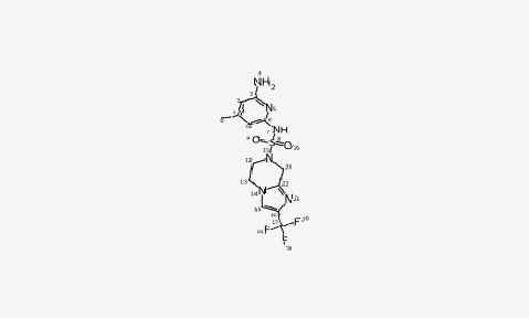 Cc1cc(N)nc(NS(=O)(=O)N2CCn3cc(C(F)(F)F)nc3C2)c1